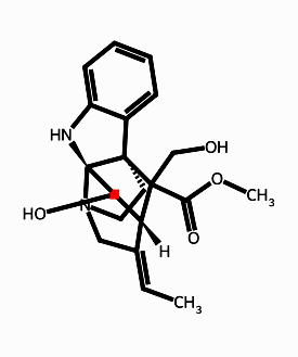 C/C=C1/CN2CC[C@@]34c5ccccc5N[C@@]23C(O)C[C@@H]1C4(CO)C(=O)OC